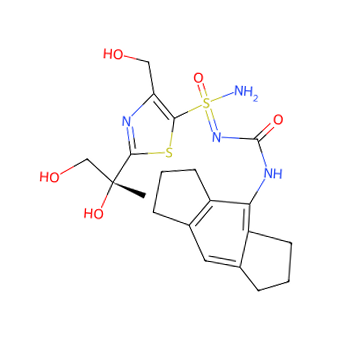 C[C@@](O)(CO)c1nc(CO)c(S(N)(=O)=NC(=O)Nc2c3c(cc4c2CCC4)CCC3)s1